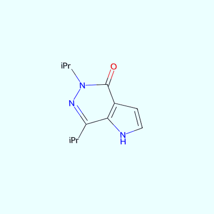 CC(C)c1nn(C(C)C)c(=O)c2cc[nH]c12